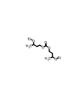 CCOC(C)CCOC(=O)OCCC(C)OCC